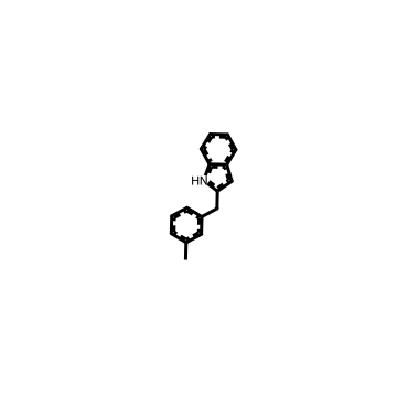 Cc1cccc(Cc2cc3ccccc3[nH]2)c1